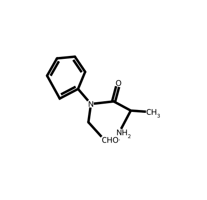 CC(N)C(=O)N(C[C]=O)c1ccccc1